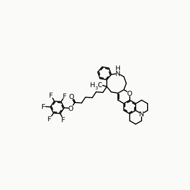 CC1(CCCCCC(=O)Oc2c(F)c(F)c(F)c(F)c2F)CC2=Cc3cc4c5c(c3OC2CCNc2ccccc21)CCCN5CCC4